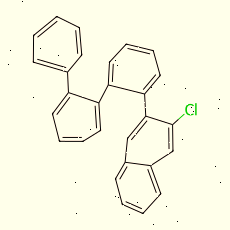 Clc1cc2ccccc2cc1-c1ccccc1-c1ccccc1-c1ccccc1